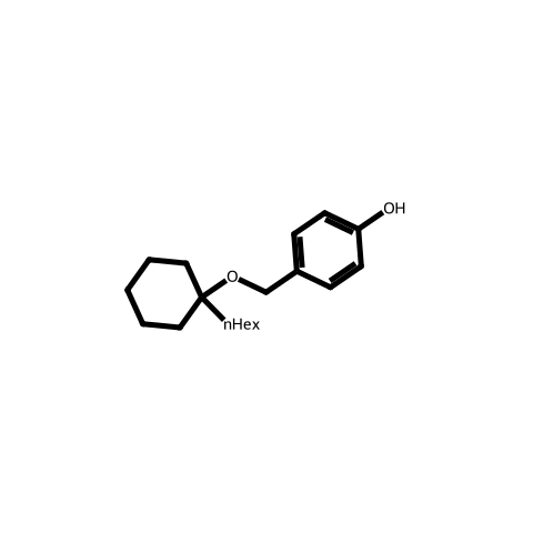 CCCCCCC1(OCc2ccc(O)cc2)CCCCC1